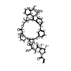 C=CC(=O)N1C[C@@H](F)[C@](F)(C(=O)N(C)[C@H](C(=O)N[C@H]2Cc3cccc(c3)-c3ccc4c(c3)c(c(-c3cccnc3[C@H](C)OC)n4CC)CC(C)(C)COC(=O)[C@@H]3CCCN(N3)C2=O)C(C)C)C1